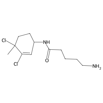 CC1(Cl)CCC(NC(=O)CCCCN)C=C1Cl